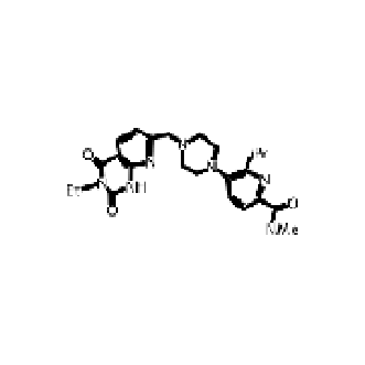 CCn1c(=O)[nH]c2nc(CN3CCN(c4ccc(C(=O)NC)nc4C(C)C)CC3)ccc2c1=O